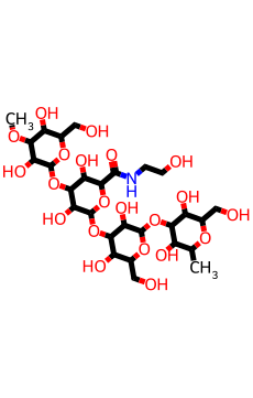 COC1C(O)C(CO)OC(OC2C(O)C(OC3C(O)C(CO)OC(OC4C(O)C(C)OC(CO)C4O)C3O)OC(C(=O)NCCO)C2O)C1O